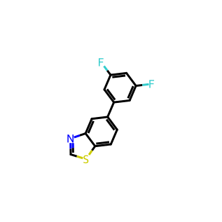 Fc1cc(F)cc(-c2ccc3scnc3c2)c1